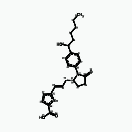 CCCCCC(O)c1ccc(N2C(=O)CC[C@@H]2CC=Cc2nc(C(=O)O)cs2)cc1